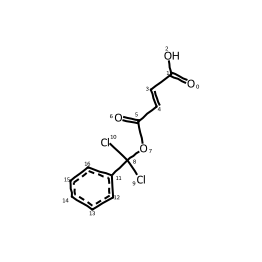 O=C(O)C=CC(=O)OC(Cl)(Cl)c1ccccc1